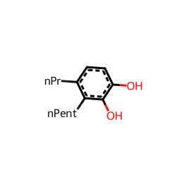 CCCCCc1c(CCC)ccc(O)c1O